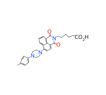 Cc1ccc(N2CCN(c3ccc4c5c(cccc35)C(=O)N(CCCCCC(=O)O)C4=O)CC2)cc1